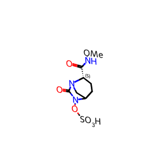 CONC(=O)[C@@H]1CCC2CN1C(=O)N2OS(=O)(=O)O